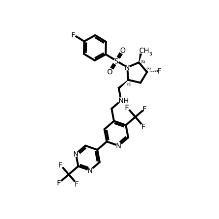 C[C@H]1[C@H](F)C[C@@H](CNCc2cc(-c3cnc(C(F)(F)F)nc3)ncc2C(F)(F)F)N1S(=O)(=O)c1ccc(F)cc1